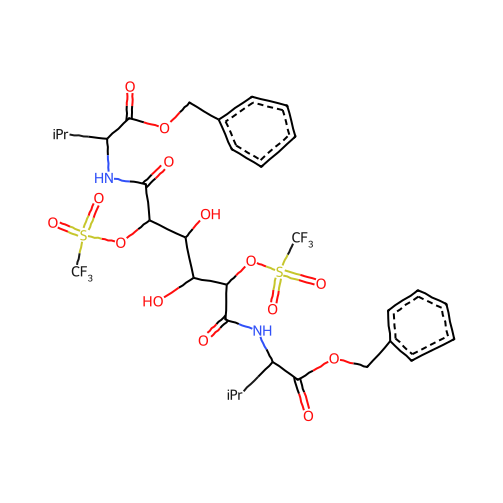 CC(C)C(NC(=O)C(OS(=O)(=O)C(F)(F)F)C(O)C(O)C(OS(=O)(=O)C(F)(F)F)C(=O)NC(C(=O)OCc1ccccc1)C(C)C)C(=O)OCc1ccccc1